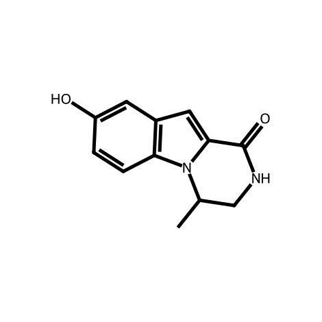 CC1CNC(=O)c2cc3cc(O)ccc3n21